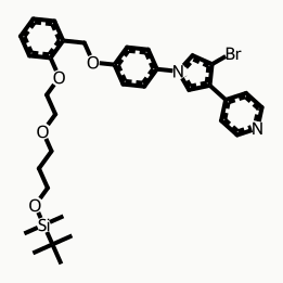 CC(C)(C)[Si](C)(C)OCCCOCCOc1ccccc1COc1ccc(-n2cc(Br)c(-c3ccncc3)c2)cc1